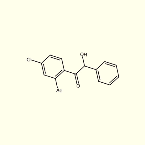 CC(=O)c1cc(Cl)ccc1C(=O)C(O)c1ccccc1